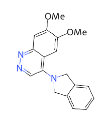 COc1cc2nncc(N3Cc4ccccc4C3)c2cc1OC